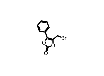 O=c1oc(CBr)c(-c2ccccc2)o1